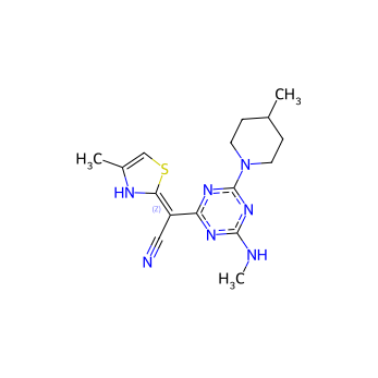 CNc1nc(/C(C#N)=C2/NC(C)=CS2)nc(N2CCC(C)CC2)n1